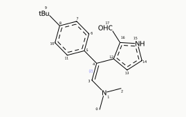 CN(C)/C=C(/c1ccc(C(C)(C)C)cc1)c1cc[nH]c1C=O